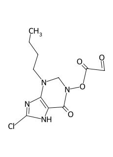 CCCCN1CN(OC(=O)C=O)C(=O)c2[nH]c(Cl)nc21